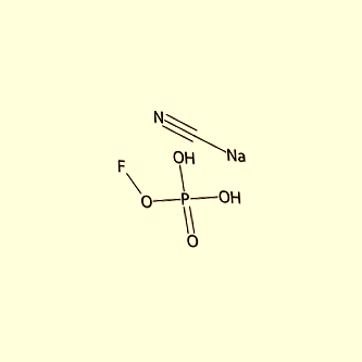 N#[C][Na].O=P(O)(O)OF